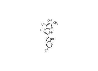 Cc1nc(NC(=O)c2cc3cc(Cl)ccc3[nH]2)c(C)c(C)c1O